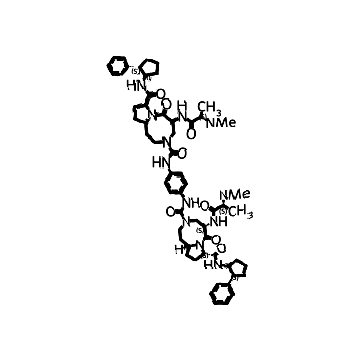 CN[C@@H](C)C(=O)NC1CN(C(=O)Nc2ccc(NC(=O)N3CC[C@H]4CC[C@@H](C(=O)N[C@H]5CCC[C@H]5c5ccccc5)N4C(=O)[C@@H](NC(=O)[C@H](C)NC)C3)cc2)CCC2CCC(C(=O)N[C@@H]3CCC[C@H]3c3ccccc3)N2C1=O